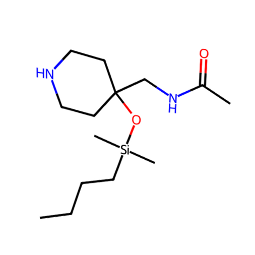 CCCC[Si](C)(C)OC1(CNC(C)=O)CCNCC1